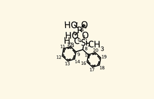 C[Si](C)(OP(=O)(O)O)C(c1ccccc1)c1ccccc1